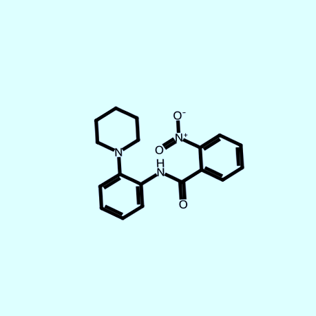 O=C(Nc1ccccc1N1CCCCC1)c1ccccc1[N+](=O)[O-]